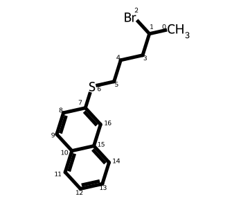 CC(Br)CCCSc1ccc2ccccc2c1